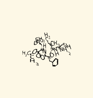 CC[C@@H](C)[C@@H](CO[C@@H](Cc1ccccc1)C(=O)N[C@@H](CCS(C)(=O)=O)C(=O)OC(C)C)NC[C@H](N)CS